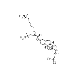 CC[C@H](CC[C@@H](C)[C@H]1CC[C@H]2[C@@H]3CC=C4C[C@@H](OC(=O)N(CCCCCCCC(C)(C)N)CCC(C)(C)N)CC[C@]4(C)[C@H]3CC[C@]12C)C(C)C